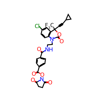 O=C(NCCN1C(=O)OC(C#CC2CC2)(C(F)(F)F)c2cc(Cl)ccc21)c1ccc(C(=O)ON2C(=O)CCC2=O)cc1